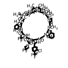 CC[C@H](C)[C@@H]1NC(=O)[C@H](CC(C)C)N(C)C(=O)C[C@@H](C(=O)N(C)C)N(C)C(=O)[C@H](C2CCCC2)N(C)C(=O)[C@H](CC(F)(F)F)NC(=O)[C@H](CC(=O)N2CC(F)(F)C2)N(C)C(=O)[C@H](CCc2ccc(C(F)(F)F)c(Cl)c2)NC(=O)CN(C)C(=O)[C@H](CC2CCCCC2)N(C)C(=O)[C@@H]2CCN2C(=O)[C@H](C)N(C)C1=O